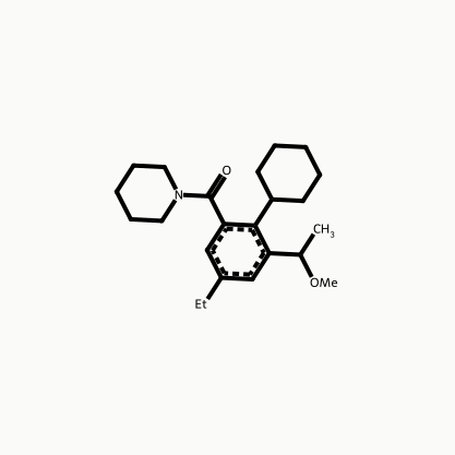 CCc1cc(C(=O)N2CCCCC2)c(C2CCCCC2)c(C(C)OC)c1